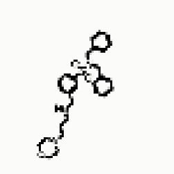 O=S(=O)(c1cccc(CNCCCN2CCOCC2)c1)N(Cc1ccccc1)Cc1ccccc1